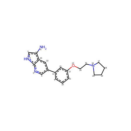 Nc1c[nH]c2ncc(-c3cccc(OCCN4CCCC4)c3)cc12